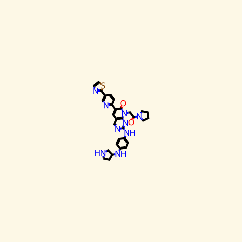 O=C(Cn1c(=O)c(-c2ccc(-c3nccs3)cn2)cc2cnc(Nc3ccc(NC4CCNC4)cc3)nc21)N1CCCC1